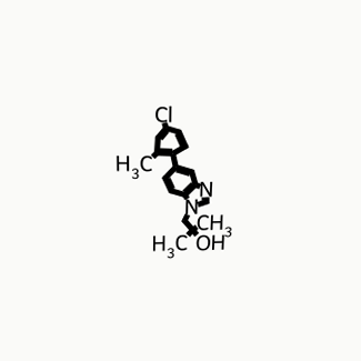 Cc1cc(Cl)ccc1-c1ccc2c(c1)ncn2CC(C)(C)O